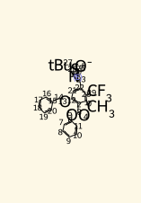 Cc1c(C(=O)Oc2ccccc2)c(OCc2ccccc2)cc(/C=N/[S@@+]([O-])C(C)(C)C)c1C(F)(F)F